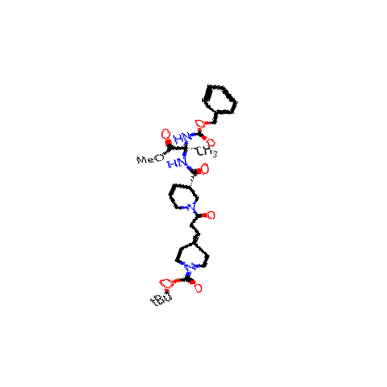 COC(=O)[C@@](C)(NC(=O)OCc1ccccc1)NC(=O)[C@H]1CCCN(C(=O)CCC2CCN(C(=O)OC(C)(C)C)CC2)C1